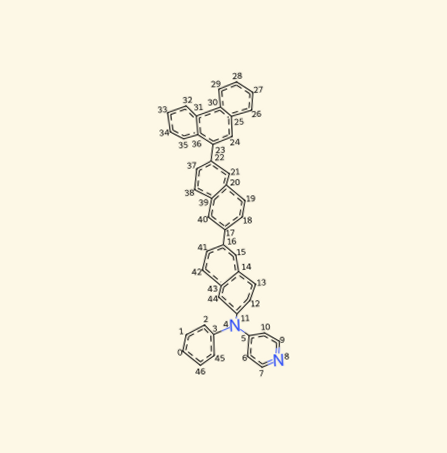 c1ccc(N(c2ccncc2)c2ccc3cc(-c4ccc5cc(-c6cc7ccccc7c7ccccc67)ccc5c4)ccc3c2)cc1